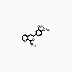 CC(=O)Oc1ccc(CCc2cccnc2C(N)=O)cc1OC(C)=O